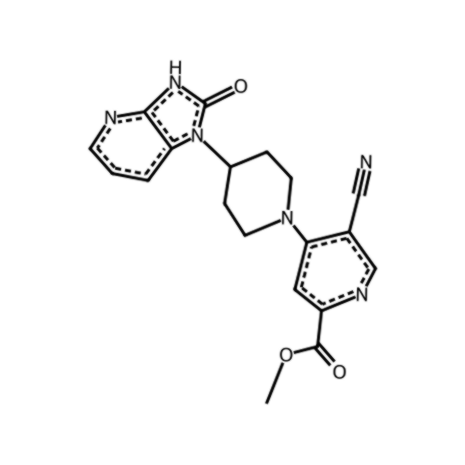 COC(=O)c1cc(N2CCC(n3c(=O)[nH]c4ncccc43)CC2)c(C#N)cn1